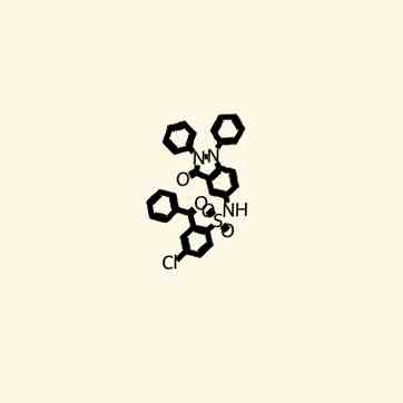 O=C(c1ccccc1)c1cc(Cl)ccc1S(=O)(=O)Nc1ccc2c(c1)c(=O)n(-c1ccccc1)n2-c1ccccc1